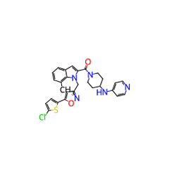 Cc1cccc2cc(C(=O)N3CCC(Nc4ccncc4)CC3)n(Cc3cc(-c4ccc(Cl)s4)on3)c12